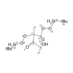 CC(O)C(=O)C(C)(OO[SiH2]C(C)(C)C)C(=O)OO[SiH2]C(C)(C)C